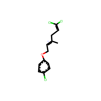 C/C(=C\COc1ccc(Cl)cc1)CC=C(Cl)Cl